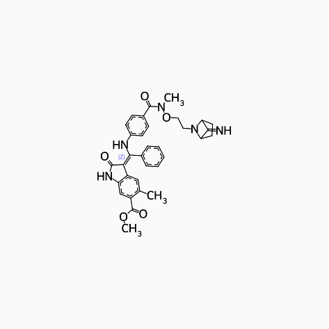 COC(=O)c1cc2c(cc1C)/C(=C(/Nc1ccc(C(=O)N(C)OCCN3C4CCC3C4=N)cc1)c1ccccc1)C(=O)N2